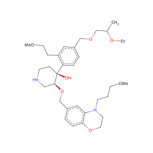 CCOC(C)COCc1ccc([C@@]2(O)CCNC[C@@H]2OCc2ccc3c(c2)N(CCCOC)CCO3)c(CCOC)c1